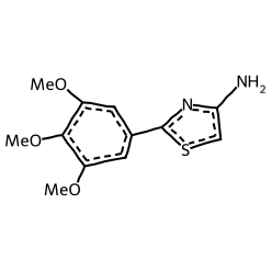 COc1cc(-c2nc(N)cs2)cc(OC)c1OC